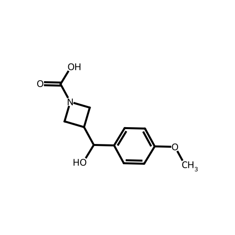 COc1ccc(C(O)C2CN(C(=O)O)C2)cc1